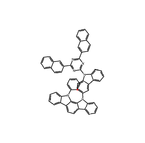 c1ccc(-n2c3ccccc3c3ccc4c5ccccc5n(-c5ccc6c(c5)c5ccccc5n6-c5nc(-c6ccc7ccccc7c6)nc(-c6ccc7ccccc7c6)n5)c4c32)cc1